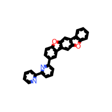 c1ccc(-c2cccc(-c3ccc4oc5cc6c(cc5c4c3)oc3ccccc36)n2)nc1